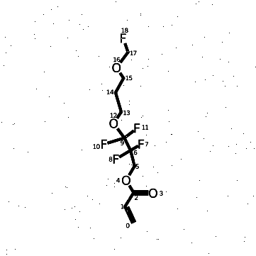 C=CC(=O)OCC(F)(F)C(F)(F)OCCCOCF